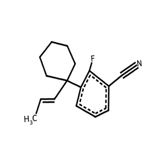 CC=CC1(c2cccc(C#N)c2F)CCCCC1